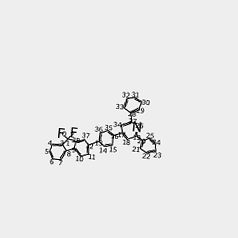 FC1(F)c2ccccc2-c2ccc(-c3ccc(-c4cc(-c5ccccc5)nc(-c5ccccc5)c4)cc3)cc21